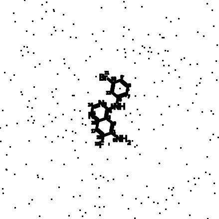 Nc1cc2c(Nc3cccc(Br)c3)ncnc2cc1F